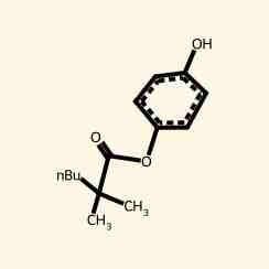 CCCCC(C)(C)C(=O)Oc1ccc(O)cc1